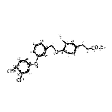 CCOC(=O)CCc1ccc(OCc2cccc(Oc3ccc(Cl)c(Cl)c3)c2)c(F)c1